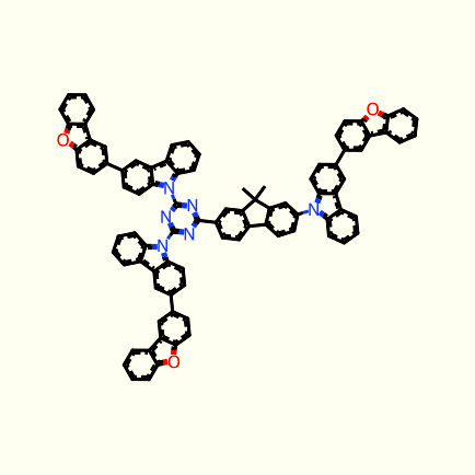 CC1(C)c2cc(-c3nc(-n4c5ccccc5c5cc(-c6ccc7oc8ccccc8c7c6)ccc54)nc(-n4c5ccccc5c5cc(-c6ccc7oc8ccccc8c7c6)ccc54)n3)ccc2-c2ccc(-n3c4ccccc4c4cc(-c5ccc6oc7ccccc7c6c5)ccc43)cc21